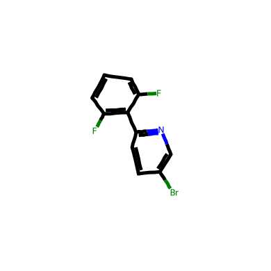 Fc1cccc(F)c1-c1ccc(Br)cn1